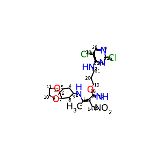 C/C(NC1CCC2(CC1)OCCO2)=C(\C[N+](=O)[O-])C(=N)OCCCNc1nc(Cl)ncc1Cl